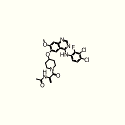 C=C(NC(C)=O)C(=O)N1CCC(Oc2cc3c(Nc4ccc(Cl)c(Cl)c4F)ncnc3cc2OC)CC1